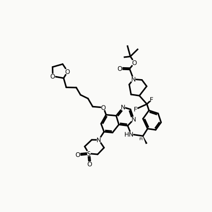 C[C@@H](Nc1ncnc2c(OCCCCCC3OCCO3)cc(N3CCS(=O)(=O)CC3)cc12)c1cccc(C(F)(F)C2CCN(C(=O)OC(C)(C)C)CC2)c1